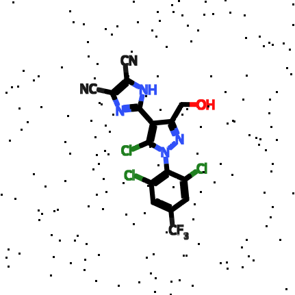 N#Cc1nc(-c2c(CO)nn(-c3c(Cl)cc(C(F)(F)F)cc3Cl)c2Cl)[nH]c1C#N